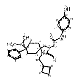 CN(C)[C@]1(c2ccccc2)CC[C@@]2(CC1)CN(CC(=O)Nc1ccc(O)cn1)C(=O)N2CC1CCC1